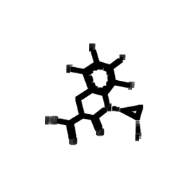 O=C(O)C1Cc2c(F)c(F)c(F)c(F)c2N([C@@H]2C[C@@H]2F)C1=O